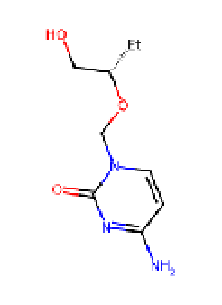 CC[C@@H](CO)OCn1ccc(N)nc1=O